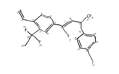 C=Cc1ccc(/C(F)=C/C(c2ccc(F)cc2)C(F)(F)F)cc1C(C)(F)F